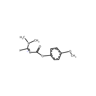 COc1ccc(OC(=O)/N=C(/I)N(C)C)cc1